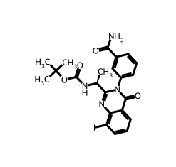 C[C@H](NC(=O)OC(C)(C)C)c1nc2c(I)cccc2c(=O)n1-c1cccc(C(N)=O)c1